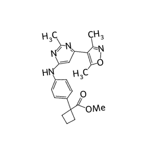 COC(=O)C1(c2ccc(Nc3cc(-c4c(C)noc4C)nc(C)n3)cc2)CCC1